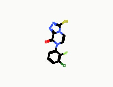 O=c1c2nnc(S)n2ccn1-c1cccc(Cl)c1F